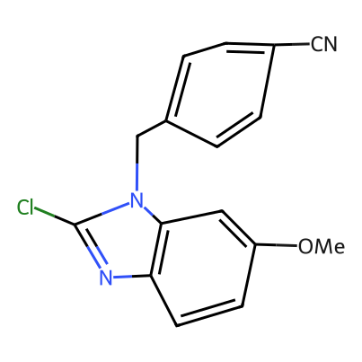 COc1ccc2nc(Cl)n(Cc3ccc(C#N)cc3)c2c1